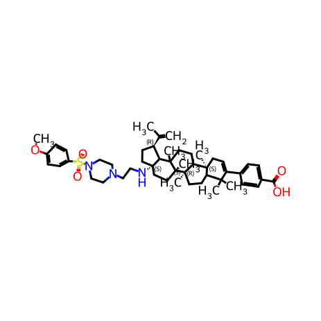 C=C(C)[C@@H]1CC[C@]2(NCCN3CCN(S(=O)(=O)c4ccc(OC)cc4)CC3)CC[C@]3(C)C(C)(CCC4[C@@]5(C)CC=C(c6ccc(C(=O)O)cc6)C(C)(C)C5CC[C@]43C)C12